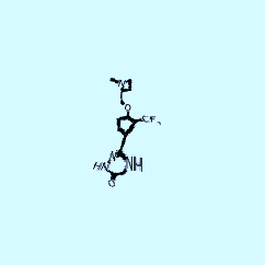 CN1CC[C@H]1COc1ccc(C2=NNC(=O)CN2)cc1C(F)(F)F